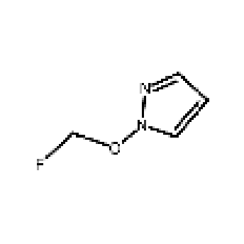 FCOn1cccn1